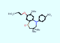 CCCCC1(CCCC)CN(c2ccc([N+](=O)[O-])cc2)c2cc(SC)c(O/C=C/C(=O)OCC)cc2[S+]([O-])C1